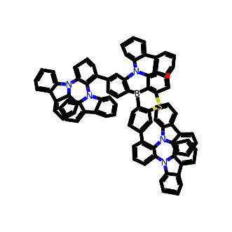 c1ccc(-c2ccccc2N2c3cc(-c4cccc(-n5c6ccccc6c6ccccc65)c4-n4c5ccccc5c5ccccc54)ccc3B3c4ccc(-c5cccc(-n6c7ccccc7c7ccccc76)c5-n5c6ccccc6c6ccccc65)cc4Sc4cccc2c43)cc1